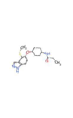 CCC(=O)N[C@H]1CC[C@@H](Oc2ccc3[nH]ncc3c2SC)CC1